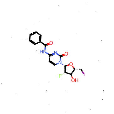 O=C(Nc1ccn([C@@H]2O[C@H](CI)[C@@H](O)[C@@H]2F)c(=O)n1)c1ccccc1